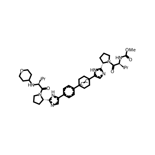 COC(=O)N[C@H](C(=O)N1CCC[C@H]1c1ncc(C23CCC(c4ccc(-c5cnc([C@@H]6CCCN6C(=O)[C@@H](NC6CCOCC6)C(C)C)[nH]5)cc4)(CC2)CC3)[nH]1)C(C)C